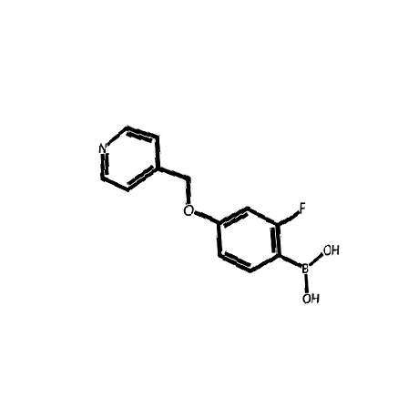 OB(O)c1ccc(OCc2ccncc2)cc1F